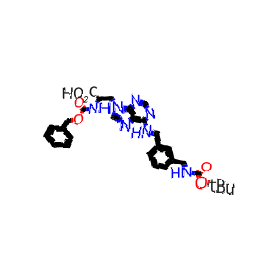 CC(C)(C)OC(=O)NCc1cccc(CNc2ncnc3c2ncn3C[C@@H](NC(=O)OCc2ccccc2)C(=O)O)c1